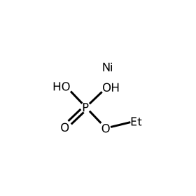 CCOP(=O)(O)O.[Ni]